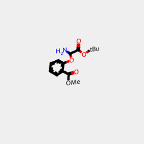 COC(=O)c1ccccc1O[C](N)C(=O)OC(C)(C)C